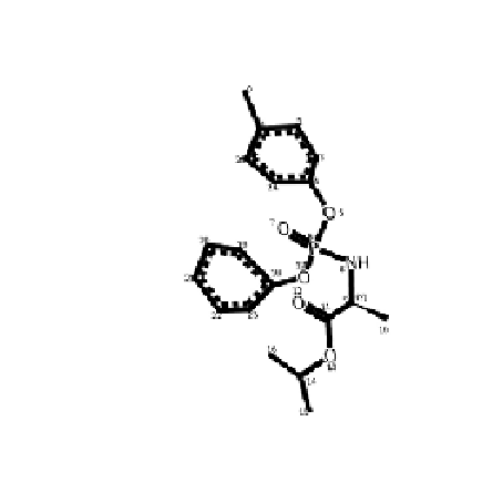 Cc1ccc(OP(=O)(N[C@@H](C)C(=O)OC(C)C)Oc2ccccc2)cc1